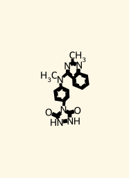 Cc1nc(N(C)c2ccc(-n3c(=O)[nH][nH]c3=O)cc2)c2ccccc2n1